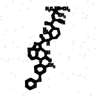 CNC(C)(C)/C=C(\C#N)C(=O)N1CCCC(NC(=O)c2sc3nccc4c3c2NC(=O)N4c2ccc(Oc3ccccc3)cc2C)=C1C